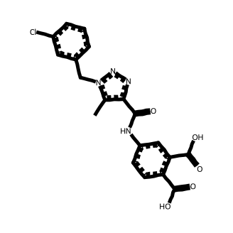 Cc1c(C(=O)Nc2ccc(C(=O)O)c(C(=O)O)c2)nnn1Cc1cccc(Cl)c1